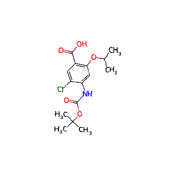 CC(C)Oc1cc(NC(=O)OC(C)(C)C)c(Cl)cc1C(=O)O